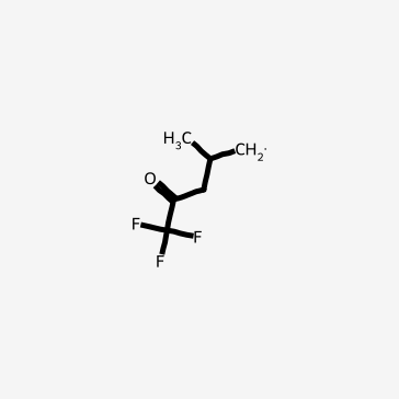 [CH2]C(C)CC(=O)C(F)(F)F